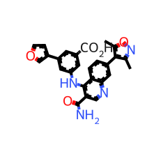 Cc1noc(C)c1-c1ccc2c(Nc3cc(C(=O)O)cc(-c4ccoc4)c3)c(C(N)=O)cnc2c1